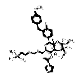 COc1ccc(Cc2cc([C@@H]3O[C@H](COCOCC[Si](C)(C)C)[C@@H](OC(=S)n4ccnc4)[C@@H]4O[C@@](C)(OC)[C@](C)(OC)O[C@H]43)ccc2Cl)cc1